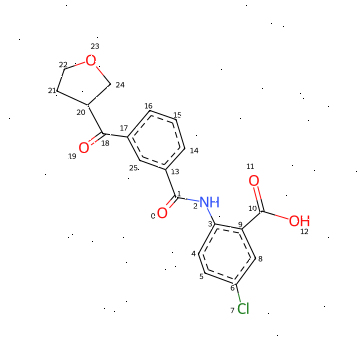 O=C(Nc1ccc(Cl)cc1C(=O)O)c1cccc(C(=O)C2CCOC2)c1